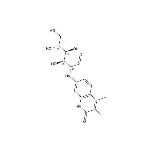 Cc1c(C)c2ccc(N[C@@H](C=O)[C@@H](O)[C@H](O)[C@H](O)CO)cc2[nH]c1=O